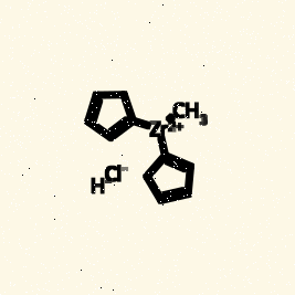 [CH3][Zr+2]([C]1=CC=CC1)[C]1=CC=CC1.[Cl-].[H-]